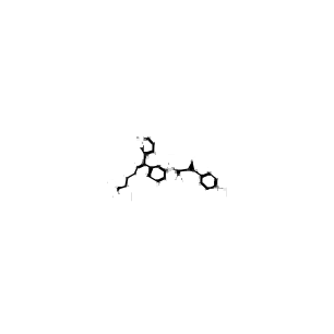 O=C(O)CCC/C=C(/c1cccnc1)c1cccc(NC(=O)C2CC2c2ccc(Cl)cc2)c1